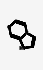 C1=CN2C=COC=C2N1